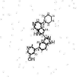 Oc1cncc(-c2ccc3[nH]nc(-c4cc5c(N6CCCCC6)cncc5[nH]4)c3c2)c1